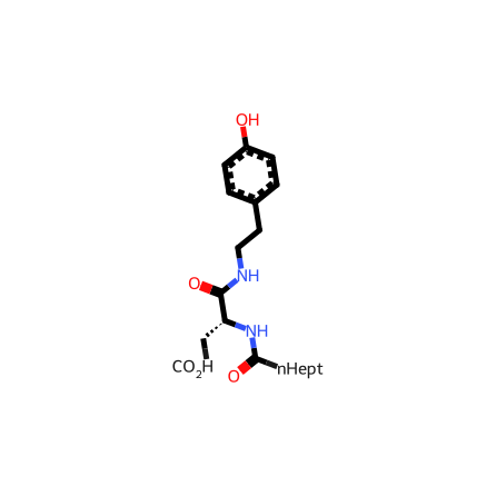 CCCCCCCC(=O)N[C@H](CC(=O)O)C(=O)NCCc1ccc(O)cc1